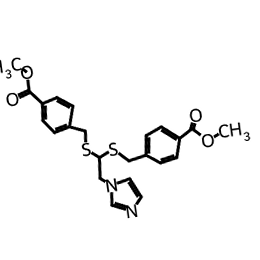 COC(=O)c1ccc(CSC(Cn2ccnc2)SCc2ccc(C(=O)OC)cc2)cc1